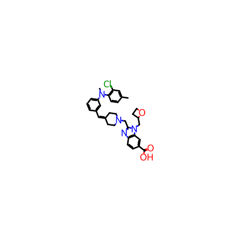 Cc1ccc(N(C)c2cccc(C=C3CCN(Cc4nc5ccc(C(=O)O)cc5n4CC4CCO4)CC3)c2)c(Cl)c1